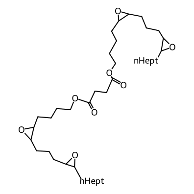 CCCCCCCC1OC1CCCC1OC1CCCCOC(=O)CCC(=O)OCCCCC1OC1CCCC1OC1CCCCCCC